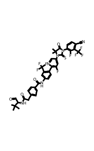 CC(C)(C)C(C=O)NC(=O)Cc1ccc(C(=O)Nc2ccc(-c3ncc(N4C(=S)N(c5ccc(C#N)c(C(F)(F)F)c5F)C(=O)C4(C)C)cc3F)c(C(F)(F)F)c2)cc1